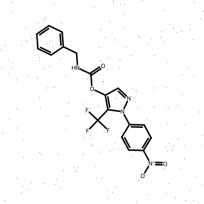 O=C(NCc1ccccc1)Oc1cnn(-c2ccc([N+](=O)[O-])cc2)c1C(F)(F)F